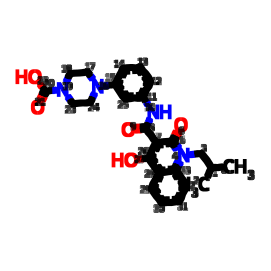 CC(C)Cn1c(=O)c(C(=O)Nc2cccc(N3CCN(C(=O)O)CC3)c2)c(O)c2ccccc21